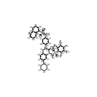 Cc1c(F)c(F)c(S(=O)(=O)N(C)CC(=O)N(Cc2ccc(C3CCCCC3)cc2)c2ccc(NS(=O)(=O)c3cccc4ncccc34)cc2)c(F)c1F